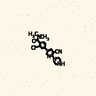 CN(C)C(=O)c1ccc(-c2cnc(N3CCNCC3)c(C#N)c2)cc1Cl